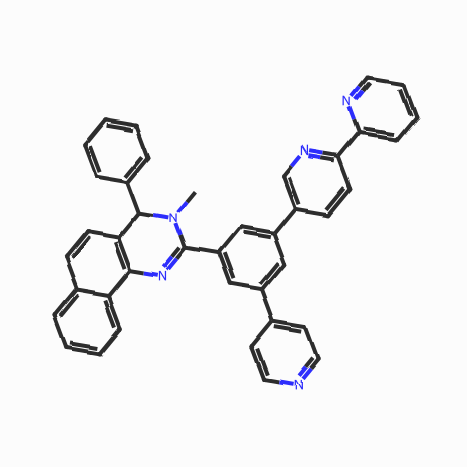 CN1C(c2cc(-c3ccncc3)cc(-c3ccc(-c4ccccn4)nc3)c2)=Nc2c(ccc3ccccc23)C1c1ccccc1